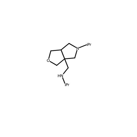 CC(C)NCC12COCC1CN(C(C)C)C2